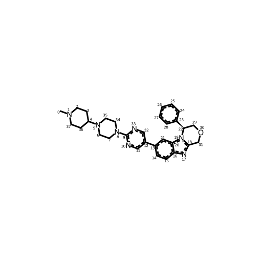 CN1CCC(N2CCN(c3ncc(-c4ccc5nc6n(c5c4)[C@@H](c4ccccc4)COC6)cn3)CC2)CC1